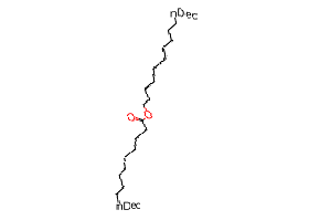 CCCCCCCCCCCCCCCCCCCCOC(=O)CCCCCCCCCCCCCCCCCC